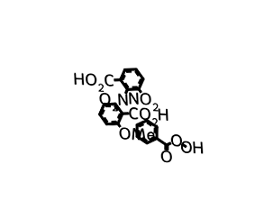 COc1ccccc1C(=O)O.O=C(O)c1cccc([N+](=O)[O-])c1[N+](=O)[O-].O=C(OO)c1ccccc1